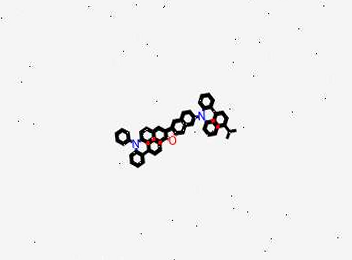 CC(C)c1ccc(-c2ccccc2N(c2ccccc2)c2ccc3cc4c(cc3c2)oc2cc3cc(N(c5ccccc5)c5ccccc5-c5ccccc5)ccc3cc24)cc1